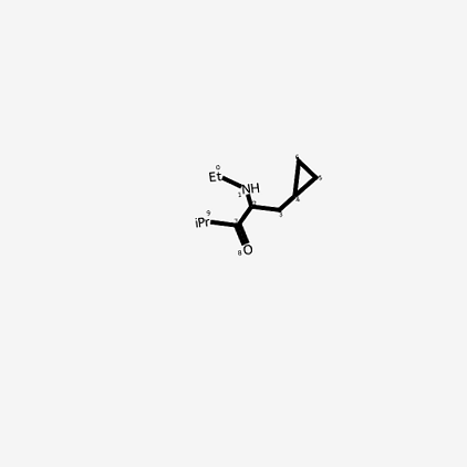 CCNC(CC1CC1)C(=O)C(C)C